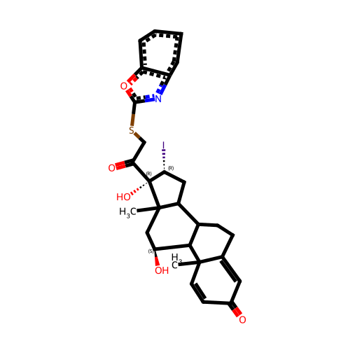 CC12C=CC(=O)C=C1CCC1C2[C@@H](O)CC2(C)C1C[C@@H](I)[C@]2(O)C(=O)CSc1nc2ccccc2o1